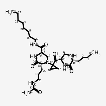 CCCC[C@@H]1NC[C@H](C(=O)C2(N3C[C@H](C(=O)NCCCCCCCN)NC(=O)[C@@H]3CCCNC(N)=O)CC2)NC1=O